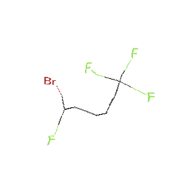 FC(Br)CC(F)(F)F